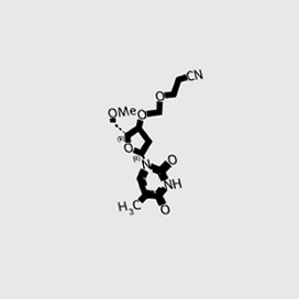 COC[C@H]1O[C@@H](n2cc(C)c(=O)[nH]c2=O)CC1OCOCCC#N